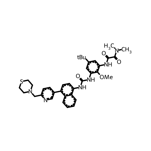 COc1c(NC(=O)Nc2ccc(-c3ccc(CN4CCSCC4)nc3)c3ccccc23)cc(C(C)(C)C)cc1NC(=O)C(=O)N(C)C